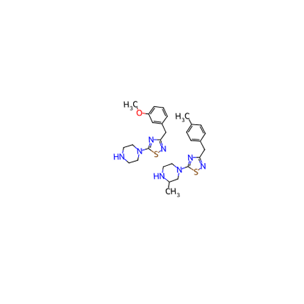 COc1cccc(Cc2nsc(N3CCNCC3)n2)c1.Cc1ccc(Cc2nsc(N3CCNC(C)C3)n2)cc1